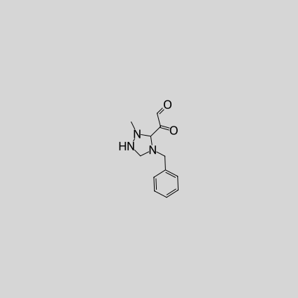 CN1NCN(Cc2ccccc2)C1C(=O)C=O